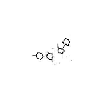 O=[N+]([O-])c1cc(-c2ccc(Cl)cc2)c(Cl)c([S+]([O-])c2cc([N+](=O)[O-])cc(-c3ccc(Cl)cc3)c2Cl)c1